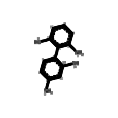 Nc1ccc(-c2c(N)cccc2O)c(O)c1